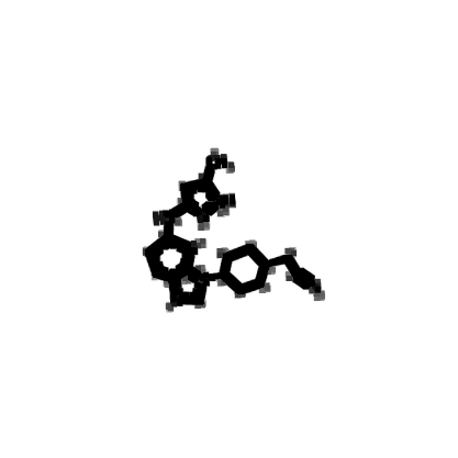 Cc1cc(Nc2ccc3ncn([C@H]4CC[C@H](CC#N)CC4)c3n2)n[nH]1